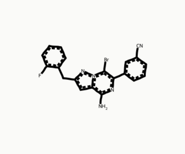 N#Cc1cccc(-c2nc(N)c3cc(Cc4ccccc4F)nn3c2Br)c1